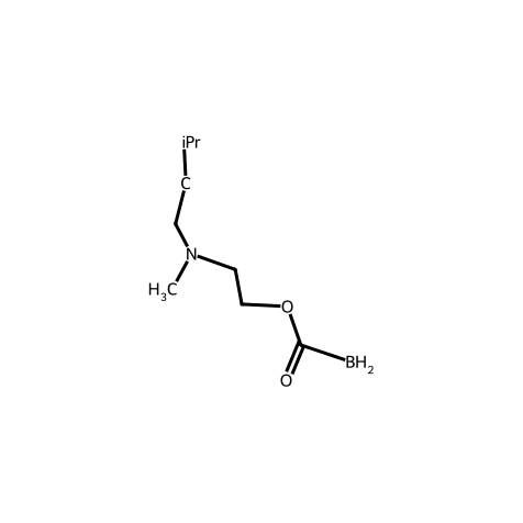 BC(=O)OCCN(C)CCC(C)C